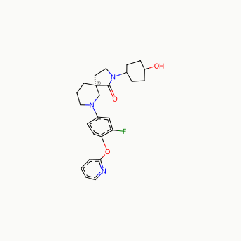 O=C1N(C2CCC(O)CC2)CC[C@]12CCCN(c1ccc(Oc3ccccn3)c(F)c1)C2